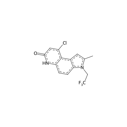 Cc1cc2c3c(Cl)cc(=O)[nH]c3ccc2n1CC(F)(F)F